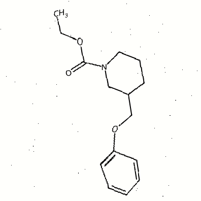 CCOC(=O)N1CCCC(COc2ccccc2)C1